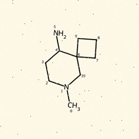 CN1CCC(N)C2(CCC2)C1